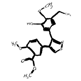 CCc1cc(-c2nscc2-c2ccc(OC)c(C(=O)OC)c2)cc(O)c1OC